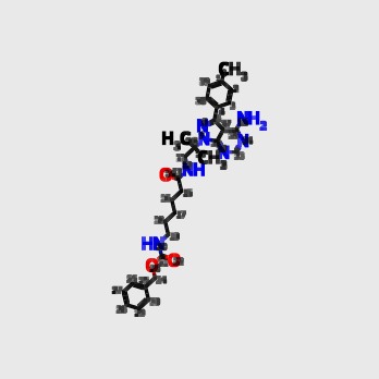 Cc1ccc(-c2nn(C(C)(C)CNC(=O)CCCCCNC(=O)OCc3ccccc3)c3ncnc(N)c23)cc1